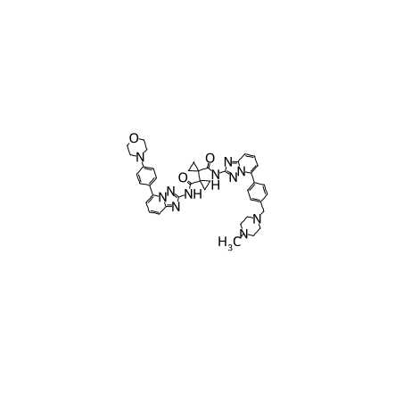 CN1CCN(Cc2ccc(-c3cccc4nc(NC(=O)C5(C6(C(=O)Nc7nc8cccc(-c9ccc(N%10CCOCC%10)cc9)n8n7)CC6)CC5)nn34)cc2)CC1